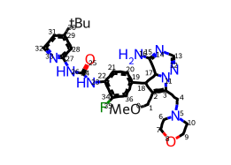 COCC1=C(CN2CCOCC2)N2N=CN=C(N)C2C1c1ccc(NC(=O)Nc2cc(C(C)(C)C)ccn2)c(F)c1